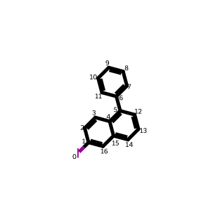 Ic1ccc2c(-c3ccccc3)cccc2c1